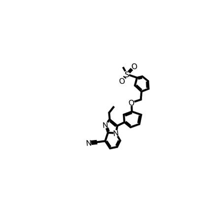 CCc1nc2c(C#N)cccn2c1-c1cccc(OCc2cccc(S(C)(=O)=O)c2)c1